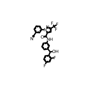 N#Cc1cccc(-n2nc(C(F)(F)F)cc2C(=O)Nc2cccc(C(O)c3ccc(F)cc3F)c2)c1